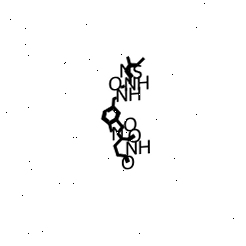 Cc1nc(NC(=O)NCc2ccc3c(c2)C(=O)N(C2CCC(=O)NC2=O)C3)sc1C